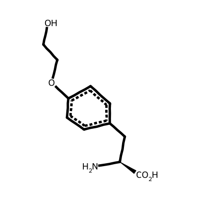 N[C@@H](Cc1ccc(OCCO)cc1)C(=O)O